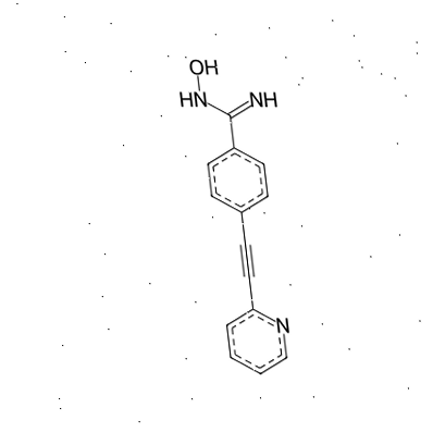 N=C(NO)c1ccc(C#Cc2ccccn2)cc1